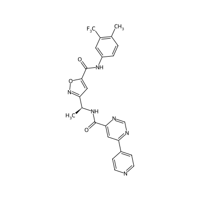 Cc1ccc(NC(=O)c2cc([C@H](C)NC(=O)c3cc(-c4ccncc4)ncn3)no2)cc1C(F)(F)F